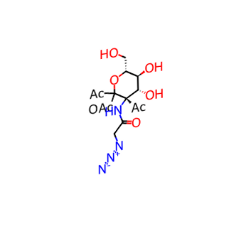 CC(=O)OC1(C(C)=O)O[C@H](CO)[C@@H](O)[C@H](O)[C@@]1(NC(=O)CN=[N+]=[N-])C(C)=O